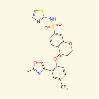 Cc1nc(-c2cc(C(F)(F)F)ccc2O[C@@H]2CCOc3cc(S(=O)(=O)Nc4nccs4)ccc32)co1